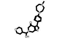 CN1CCCN(c2ccc(C3CSC4=C3C(=O)CN(C(O)C3CCOCC3)C4)cc2)CC1